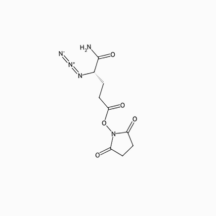 [N-]=[N+]=N[C@@H](CCC(=O)ON1C(=O)CCC1=O)C(N)=O